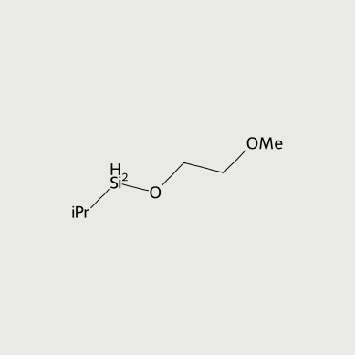 COCCO[SiH2]C(C)C